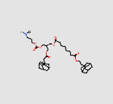 CCN(CC)CCCOC(=O)OCC(COC(=O)CCCCCCC(=O)OCCC12CC3CC(CC(C3)C1)C2)COC(=O)CC12CC3CC(CC(C3)C1)C2